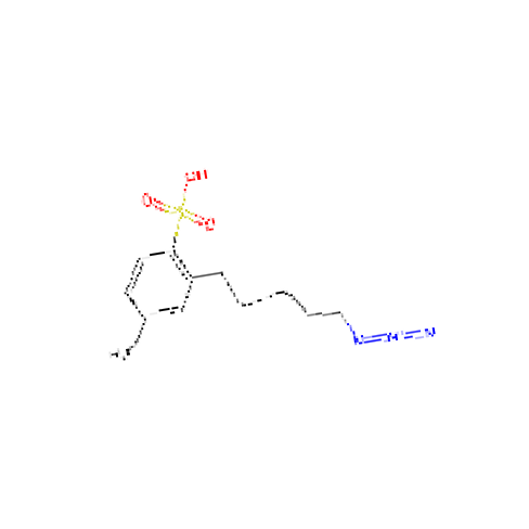 Cc1ccc(S(=O)(=O)O)c(CCCCCN=[N+]=[N-])c1